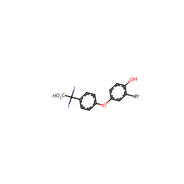 CC(C)c1cc(Oc2ccc(C(I)(I)C(=O)O)cc2)ccc1O